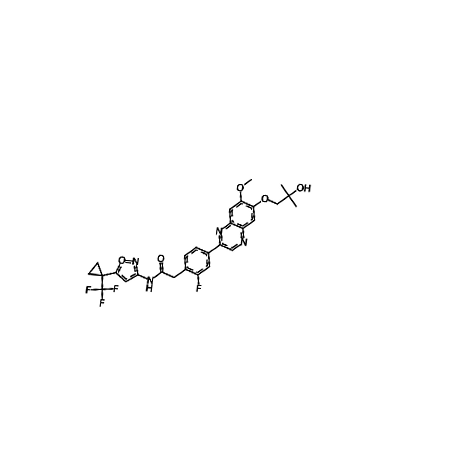 COc1cc2nc(-c3ccc(CC(=O)Nc4cc(C5(C(F)(F)F)CC5)on4)c(F)c3)cnc2cc1OCC(C)(C)O